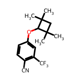 CC1(C)CC(C)(C)C1Oc1ccc(C#N)c(C(F)(F)F)c1